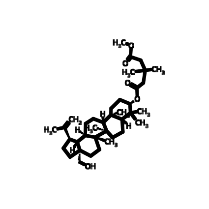 C=C(C)[C@@H]1CC[C@]2(CO)CC[C@]3(C)[C@H](CC[C@@H]4[C@@]5(C)CC[C@H](OC(=O)CC(C)(C)CC(=O)OC)C(C)(C)[C@@H]5CC[C@]43C)[C@@H]12